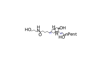 CCCCC[C@H](O)/C=C/[C@@H]1[C@H]2C/C(=C/CCCC(=O)NCCCO)C[C@H]2C[C@H]1O